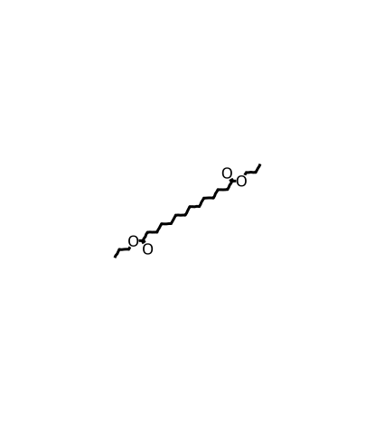 CCCOC(=O)CCCCCCCCCCCCC(=O)OCCC